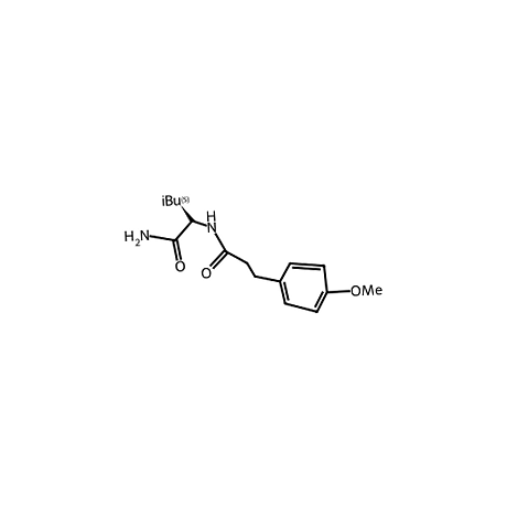 CC[C@H](C)C(NC(=O)CCc1ccc(OC)cc1)C(N)=O